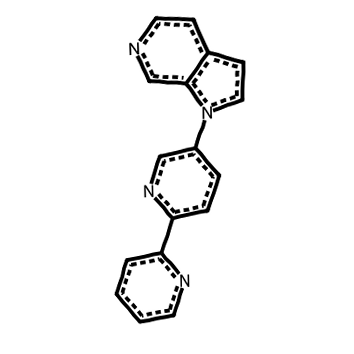 c1ccc(-c2ccc(-n3ccc4ccncc43)cn2)nc1